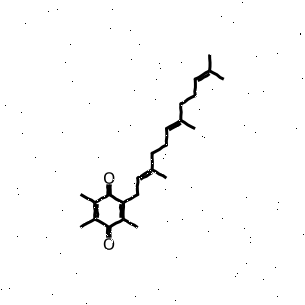 CC(C)=CCC/C(C)=C/CC/C(C)=C/CC1=C(C)C(=O)C(C)=C(C)C1=O